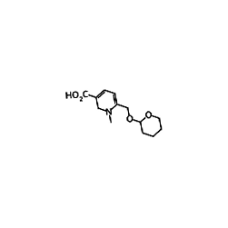 CN1CC(C(=O)O)=CC=C1COC1CCCCO1